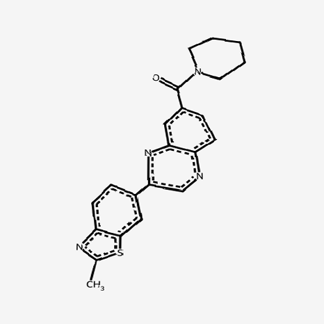 Cc1nc2ccc(-c3cnc4ccc(C(=O)N5CCCCC5)cc4n3)cc2s1